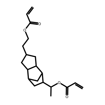 C=CC(=O)OCCC1CC2C3CC(C(C)OC(=O)C=C)C(C3)C2C1